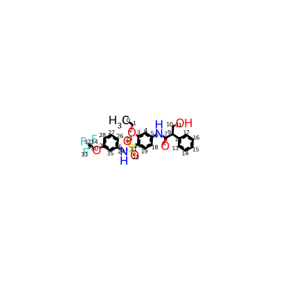 CCOc1cc(NC(=O)C(CO)c2ccccc2)ccc1S(=O)(=O)Nc1cccc(OC(F)(F)F)c1